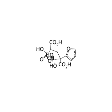 O=C(O)C(CC(C(=O)O)(c1ccco1)P(=O)(O)O)P(=O)(O)O